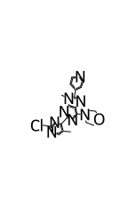 Cc1cnc(Cl)nc1-c1nc(N2CCOCC2)c2nc(-c3ccncc3)n(C)c2n1